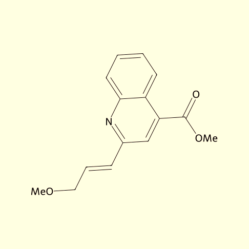 COCC=Cc1cc(C(=O)OC)c2ccccc2n1